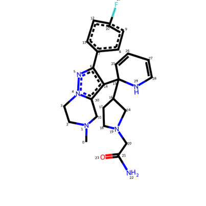 CN1CCn2nc(-c3ccc(F)cc3)c(C3(C4CCN(CC(N)=O)C4)C=CC=CN3)c2C1